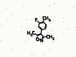 Cc1ccc(-c2c(C)noc2C)cc1F